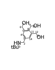 CC(C)(C)NCc1cc(CO)c(CO)c(CO)c1